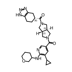 O=C(c1cnc(NC2CCCOC2)c(C2CC2)c1)N1C[C@@H]2CN(C(=O)[C@@H]3CCc4[nH]nnc4C3)C[C@H]2C1